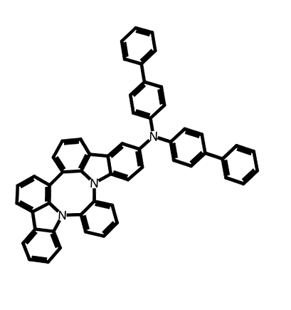 c1ccc(-c2ccc(N(c3ccc(-c4ccccc4)cc3)c3ccc4c(c3)c3cccc5c6cccc7c8ccccc8n(c8ccccc8n4c35)c76)cc2)cc1